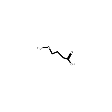 CSCCCC(=O)O